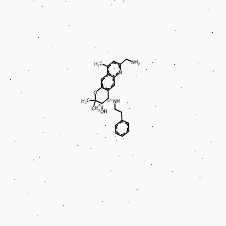 Cc1cc(CN)nc2cc3c(cc12)OC(C)(C)[C@H](O)[C@H]3NCCc1ccccc1